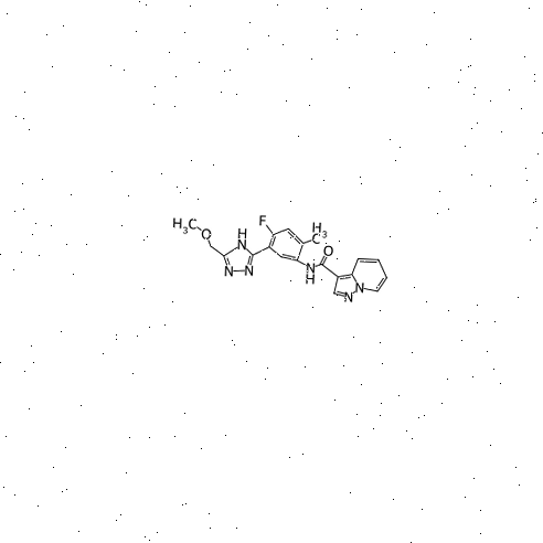 COCc1nnc(-c2cc(NC(=O)c3cnn4ccccc34)c(C)cc2F)[nH]1